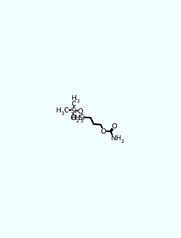 C[Si](C)(C)O[SiH2]CCCOC(N)=O